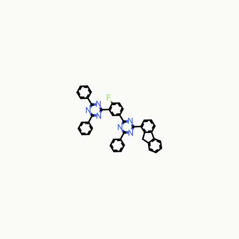 Fc1ccc(-c2nc(-c3ccccc3)nc(-c3cccc4c3Cc3ccccc3-4)n2)cc1-c1nc(-c2ccccc2)nc(-c2ccccc2)n1